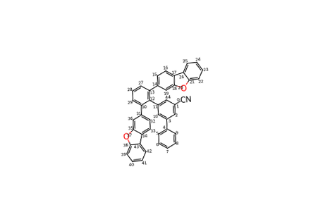 N#Cc1cc(-c2ccccc2)cc(-c2c(-c3ccc4c(c3)oc3ccccc34)cccc2-c2ccc3c(c2)oc2ccccc23)c1